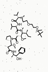 CC[C@H](C)[C@@H]([C@@H](CC(=O)N1CCC[C@H]1[C@H](OC)[C@@H](C)C(=O)N[C@H](C)[C@@H](O)c1ccccc1)OC)N(C)C(=O)[C@@H](NC(=O)[C@H](C(C)C)N(C)CCOCCO[Si](C)(C)C(C)(C)C)C(C)C